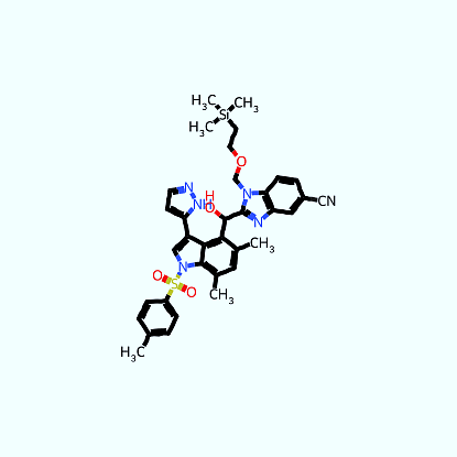 Cc1ccc(S(=O)(=O)n2cc(-c3ccn[nH]3)c3c(C(O)c4nc5cc(C#N)ccc5n4COCC[Si](C)(C)C)c(C)cc(C)c32)cc1